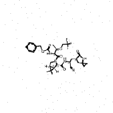 C[C@@H](OCC(F)(F)F)[C@H](NC(=O)OCc1ccccc1)C(=O)N1C[C@H]2[C@@H]([C@H]1C(=O)N[C@H](C#N)C[C@@H]1CC3(CC3)NC1=O)C2(C)C